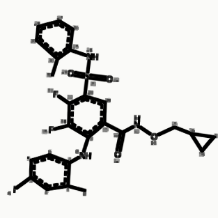 Cc1cc(I)ccc1Nc1c(C(=O)NOCC2CC2)cc(S(=O)(=O)Nc2ccccc2C)c(F)c1F